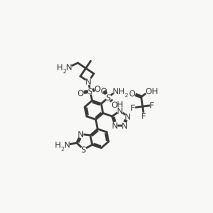 CC1(CN)CN(S(=O)(=O)c2ccc(-c3cccc4sc(N)nc34)c(-c3nnn[nH]3)c2S(N)(=O)=O)C1.O=C(O)C(F)(F)F